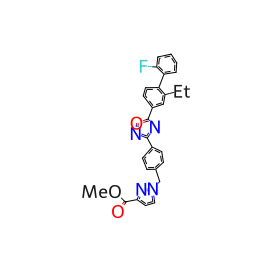 CCc1cc(-c2nc(-c3ccc(Cn4ccc(C(=O)OC)n4)cc3)no2)ccc1-c1ccccc1F